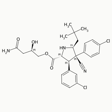 CC(C)(C)C[C@@H]1N[C@@H](C(=O)OC[C@H](O)CC(N)=O)[C@H](c2cccc(Cl)c2)[C@@]1(C#N)c1ccc(Cl)cc1